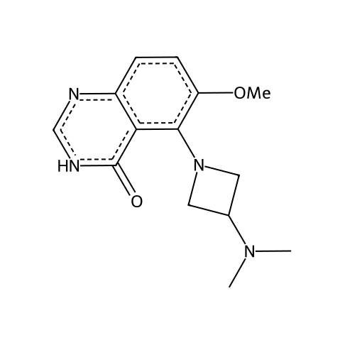 COc1ccc2nc[nH]c(=O)c2c1N1CC(N(C)C)C1